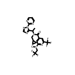 CC(c1ncnn1-c1ncccn1)N(CC1CC1)C(=O)c1cc([S+]([O-])CC(F)(F)F)nc(C(F)(F)F)c1